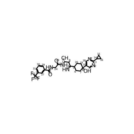 C[C@H](CC(=N)C1CCC(O)(c2cnc(C3CC3)nc2)CC1)NC(=O)CNC(=O)c1cccc(C(F)(F)F)c1